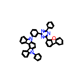 c1ccc(-c2nc(-c3cccc(-n4c5ccccc5c5c6c7ccccc7n(-c7ccccc7)c6ccc54)c3)nc(-c3cccc4c3oc3ccccc34)n2)cc1